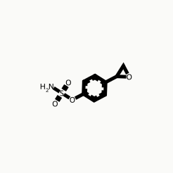 NS(=O)(=O)Oc1ccc(C2CO2)cc1